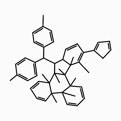 CC1=C(C2=CC=CC2)C=CC2C(C(c3ccc(C)cc3)c3ccc(C)cc3)C3(C)C4(C)C=CC=CC4(C)C4(C)C=CC=CC4(C)C3(C)C12C